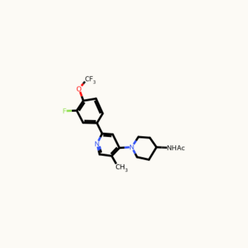 CC(=O)NC1CCN(c2cc(-c3ccc(OC(F)(F)F)c(F)c3)ncc2C)CC1